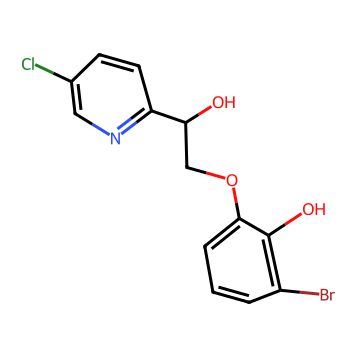 Oc1c(Br)cccc1OCC(O)c1ccc(Cl)cn1